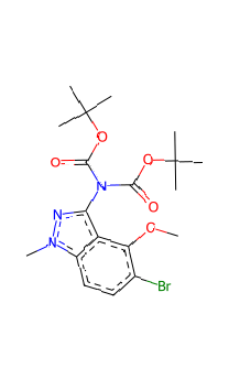 COc1c(Br)ccc2c1c(N(C(=O)OC(C)(C)C)C(=O)OC(C)(C)C)nn2C